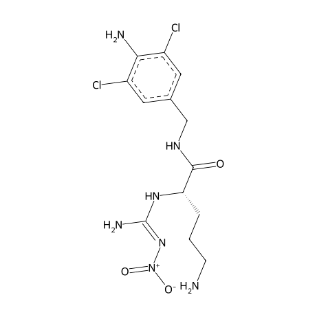 NCCC[C@H](NC(N)=N[N+](=O)[O-])C(=O)NCc1cc(Cl)c(N)c(Cl)c1